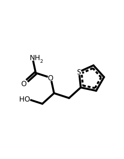 NC(=O)OC(CO)Cc1cccs1